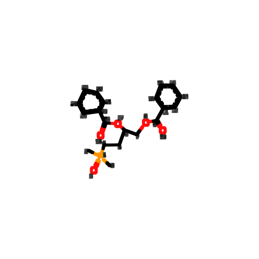 CP(C)(=O)CCC(COC(=O)c1ccccc1)OC(=O)c1ccccc1